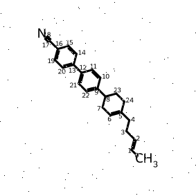 C/C=C/CCC1=CCC(c2ccc(-c3ccc(C#N)cc3)cc2)CC1